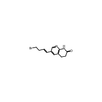 O=C1CCc2cc(C=CCCBr)cnc2N1